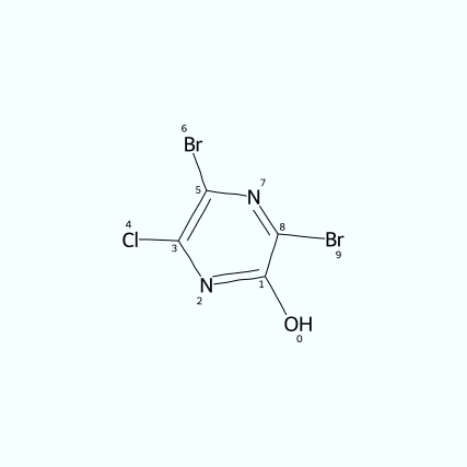 Oc1nc(Cl)c(Br)nc1Br